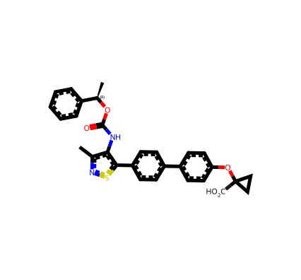 Cc1nsc(-c2ccc(-c3ccc(OC4(C(=O)O)CC4)cc3)cc2)c1NC(=O)O[C@H](C)c1ccccc1